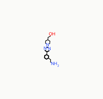 NCCc1cccc(-c2cnc(N3CCC(CCO)CC3)nc2)c1